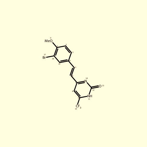 COc1ccc(C=Cc2cc(C(F)(F)F)[nH]c(=O)n2)cc1Br